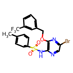 Cc1ccc(S(=O)(=O)Nc2ncc(Br)nc2OCc2cccc(C(F)(F)F)c2)cc1